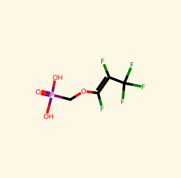 O=P(O)(O)CO/C(F)=C(\F)C(F)(F)F